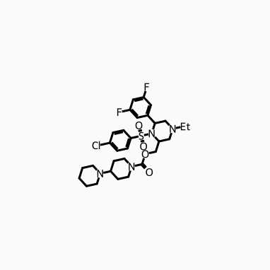 CCN1CC(COC(=O)N2CCC(N3CCCCC3)CC2)N(S(=O)(=O)c2ccc(Cl)cc2)C(c2cc(F)cc(F)c2)C1